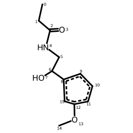 CCC(=O)NCC(O)c1cccc(OC)c1